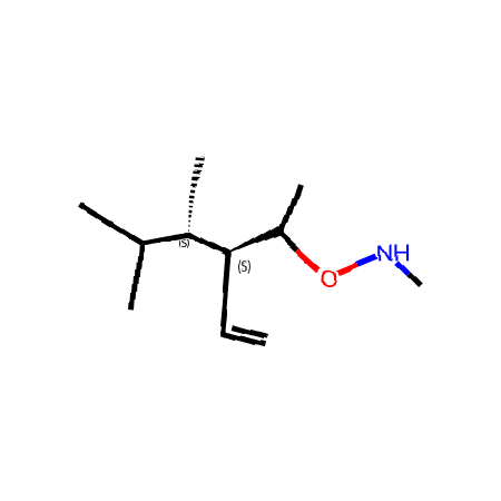 C=C[C@H](C(C)ONC)[C@@H](C)C(C)C